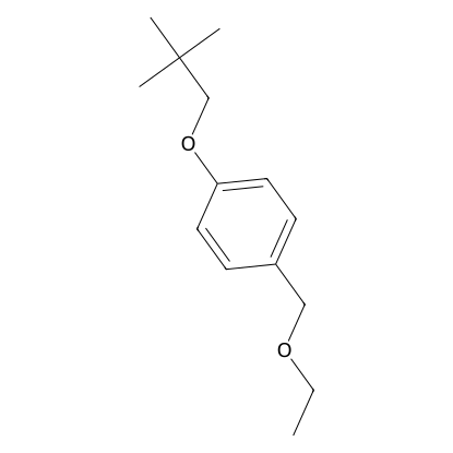 CCOCc1ccc(OCC(C)(C)C)cc1